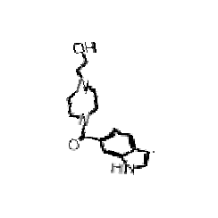 O=C(c1ccc2[c]c[nH]c2c1)N1CCN(CCO)CC1